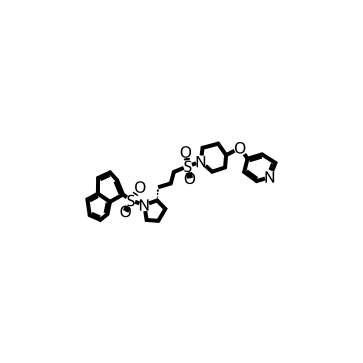 O=S(=O)(CCC[C@@H]1CCCN1S(=O)(=O)c1cccc2ccccc12)N1CCC(Oc2ccncc2)CC1